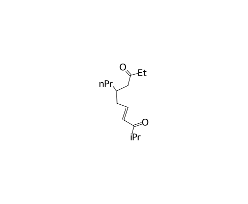 CCCC(C/C=C/C(=O)C(C)C)CC(=O)CC